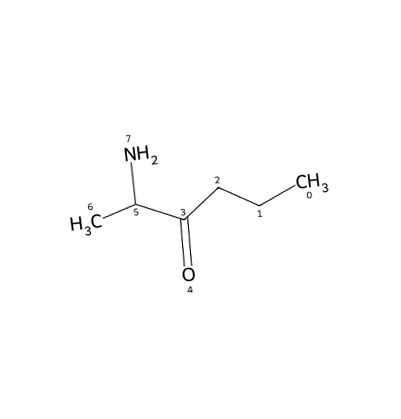 CCCC(=O)C(C)N